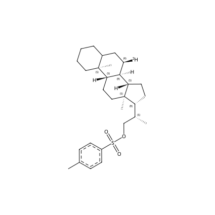 [2H][C@@H]1CC2CCCC[C@]2(C)[C@H]2CC[C@]3(C)[C@@H]([C@H](C)COS(=O)(=O)c4ccc(C)cc4)CC[C@H]3[C@H]12